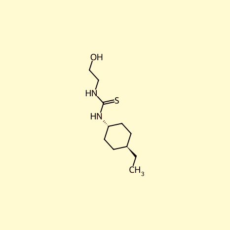 CC[C@H]1CC[C@H](NC(=S)NCCO)CC1